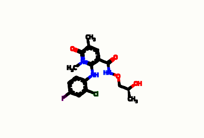 Cc1cc(C(=O)NOC[C@H](C)O)c(Nc2ccc(I)cc2Cl)n(C)c1=O